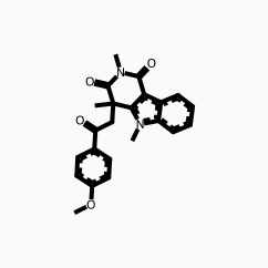 COc1ccc(C(=O)CC2(C)C(=O)N(C)C(=O)c3c2n(C)c2ccccc32)cc1